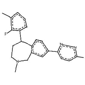 Cc1ccc(-c2ccc3c(c2)CN(C)CCC3c2cccc(C)c2F)nn1